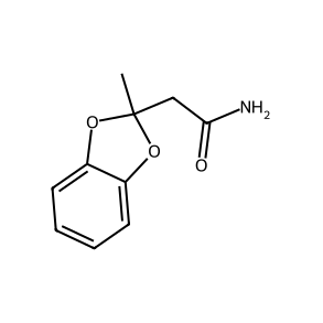 CC1(CC(N)=O)Oc2ccccc2O1